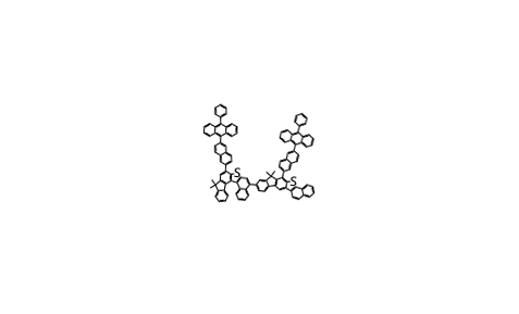 CC1(C)c2ccccc2-c2c1cc(-c1ccc3cc(-c4c5ccccc5c(-c5ccccc5)c5ccccc45)ccc3c1)c1sc3cc(-c4ccc5c(c4)C(C)(C)c4c-5cc5c(sc6c7ccccc7ccc56)c4-c4ccc5cc(-c6c7ccccc7c(-c7ccccc7)c7ccccc67)ccc5c4)c4ccccc4c3c21